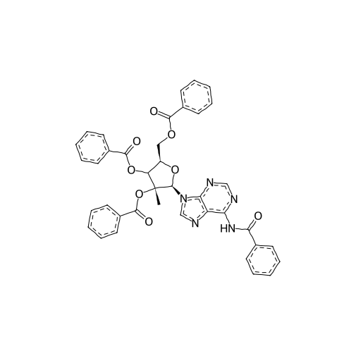 C[C@@]1(OC(=O)c2ccccc2)C(OC(=O)c2ccccc2)[C@@H](COC(=O)c2ccccc2)O[C@H]1n1cnc2c(NC(=O)c3ccccc3)ncnc21